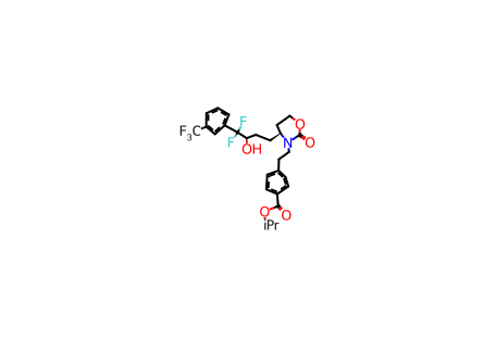 CC(C)OC(=O)c1ccc(CCN2C(=O)OCC[C@@H]2CC[C@@H](O)C(F)(F)c2cccc(C(F)(F)F)c2)cc1